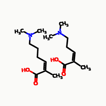 CC(=CCCCN(C)C)C(=O)O.CC(=CCCN(C)C)C(=O)O